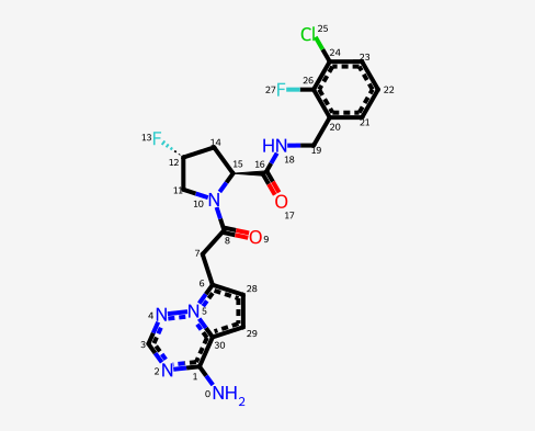 Nc1ncnn2c(CC(=O)N3C[C@H](F)C[C@H]3C(=O)NCc3cccc(Cl)c3F)ccc12